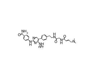 CCCNc1nc(Nc2ccc(C(N)=O)cc2)ncc1-c1ccc(CCNC(=O)CNC(=O)/C=C/CN(C)C)cc1